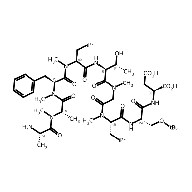 CC(C)C[C@@H](C(=O)N[C@@H](COC(C)(C)C)C(=O)N[C@@H](CC(=O)O)C(=O)O)N(C)C(=O)CN(C)C(=O)[C@@H](NC(=O)[C@H](CC(C)C)N(C)C(=O)[C@H](Cc1ccccc1)N(C)C(=O)[C@H](C)N(C)C(=O)[C@H](C)N)[C@@H](C)O